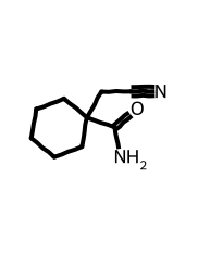 N#CCC1(C(N)=O)CCCCC1